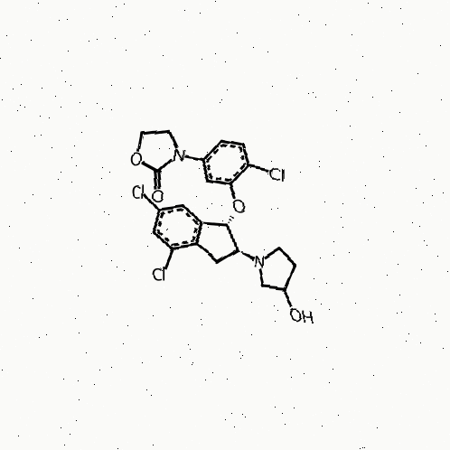 O=C1OCCN1c1ccc(Cl)c(O[C@H]2c3cc(Cl)cc(Cl)c3C[C@@H]2N2CCC(O)C2)c1